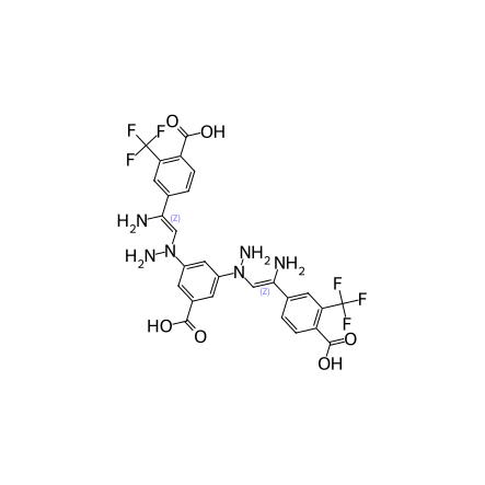 N/C(=C\N(N)c1cc(C(=O)O)cc(N(N)/C=C(\N)c2ccc(C(=O)O)c(C(F)(F)F)c2)c1)c1ccc(C(=O)O)c(C(F)(F)F)c1